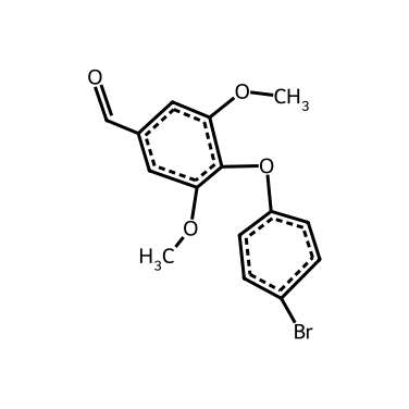 COc1cc(C=O)cc(OC)c1Oc1ccc(Br)cc1